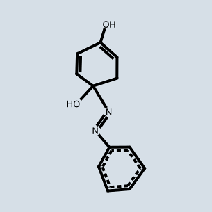 OC1=CCC(O)(N=Nc2ccccc2)C=C1